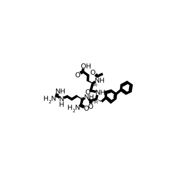 CC(=O)N[C@H](CCC(=O)O)C(=O)N[C@H](Cc1ccc(-c2ccccc2)cc1)C(=O)N[C@H](CCCNC(=N)N)C(N)=O